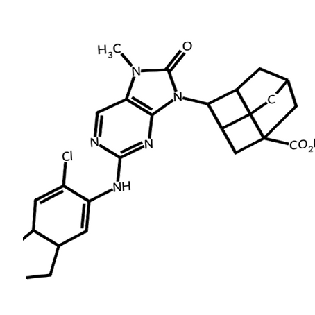 Cn1c(=O)n(C2C3CC4CC5(C(=O)O)CC2C35C4)c2nc(NC3=CC4CCOC4C=C3Cl)ncc21